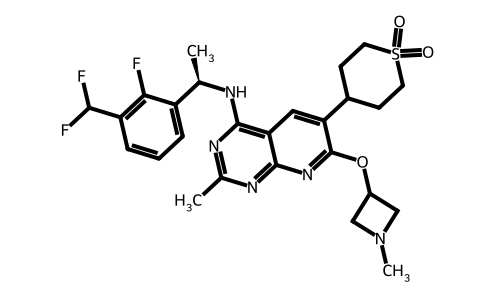 Cc1nc(N[C@H](C)c2cccc(C(F)F)c2F)c2cc(C3CCS(=O)(=O)CC3)c(OC3CN(C)C3)nc2n1